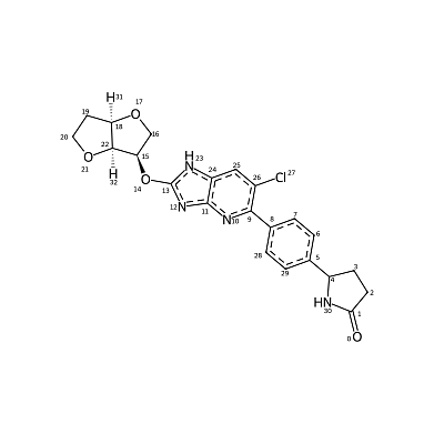 O=C1CCC(c2ccc(-c3nc4nc(O[C@@H]5CO[C@@H]6CCO[C@@H]65)[nH]c4cc3Cl)cc2)N1